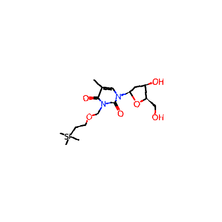 Cc1cn([C@H]2C[C@@H](O)[C@@H](CO)O2)c(=O)n(COCC[Si](C)(C)C)c1=O